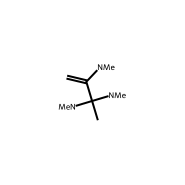 C=C(NC)C(C)(NC)NC